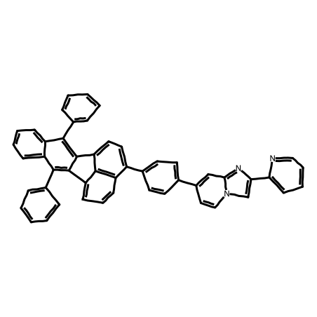 c1ccc(-c2c3c(c(-c4ccccc4)c4ccccc24)-c2ccc(-c4ccc(-c5ccn6cc(-c7ccccn7)nc6c5)cc4)c4cccc-3c24)cc1